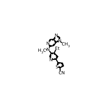 CCc1cc(-c2ccc(C#N)s2)ncc1N(C)c1cc2c(cn1)ncn2C